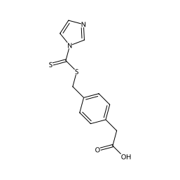 O=C(O)Cc1ccc(CSC(=S)n2ccnc2)cc1